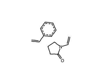 C=CN1CCCC1=O.C=Cc1ccccc1